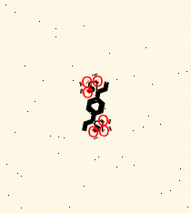 CCC(c1ccc(C(CC)[Si](OC)(OC)OC)cc1)[Si](OC)(OC)OC